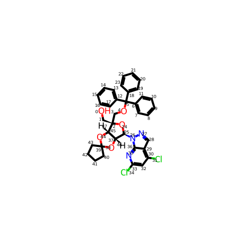 OC[C@@]1(COC(c2ccccc2)(c2ccccc2)c2ccccc2)O[C@@H](n2ncc3c(Cl)cc(Cl)nc32)[C@@H]2OC3(CCCC3)O[C@@H]21